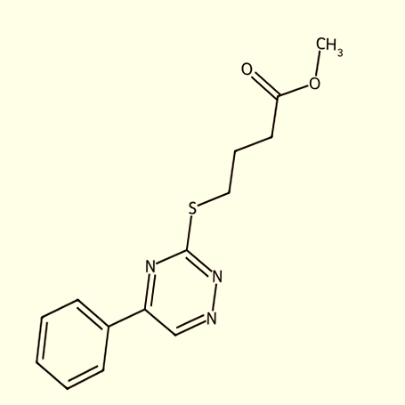 COC(=O)CCCSc1nncc(-c2ccccc2)n1